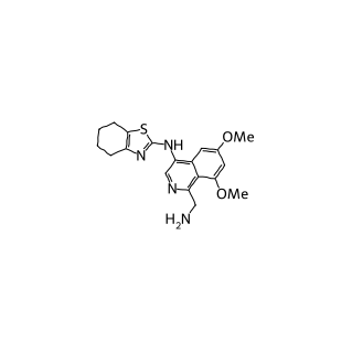 COc1cc(OC)c2c(CN)ncc(Nc3nc4c(s3)CCCC4)c2c1